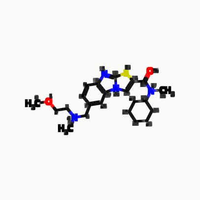 COCCN(C)Cc1ccc2nc3sc(C(=O)N(C)C4CCCCC4)cn3c2c1